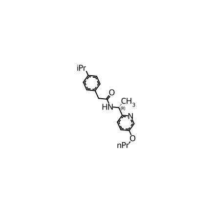 CCCOc1ccc([C@@H](C)NC(=O)Cc2ccc(C(C)C)cc2)nc1